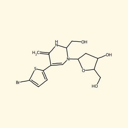 C=C1NC(CO)N(C2CC(O)C(CO)O2)C=C1c1ccc(Br)s1